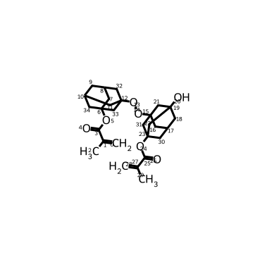 C=C(C)C(=O)OC12CC3CC(CC(OOC45CC6CC(O)(C4)CC(OC(=O)C(=C)C)(C6)C5)(C3)C1)C2